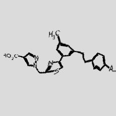 CC(=O)c1ccc(CCc2cc(C)cc(-c3csc(Cn4cc(C(=O)O)cn4)n3)c2)cc1